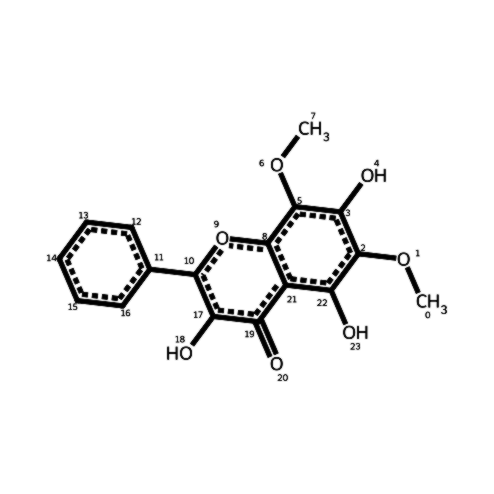 COc1c(O)c(OC)c2oc(-c3ccccc3)c(O)c(=O)c2c1O